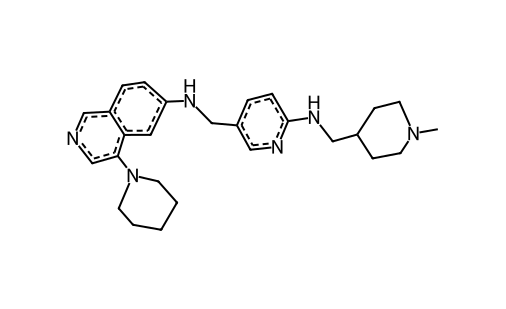 CN1CCC(CNc2ccc(CNc3ccc4cncc(N5CCCCC5)c4c3)cn2)CC1